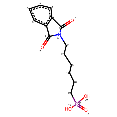 O=C1c2ccccc2C(=O)N1CCCCCCP(=O)(O)O